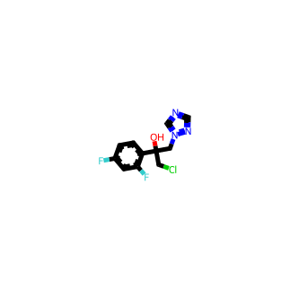 OC(CCl)(Cn1cncn1)c1ccc(F)cc1F